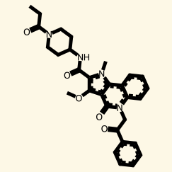 CCC(=O)N1CCC(NC(=O)c2c(OC)c3c(=O)n(CC(=O)c4ccccc4)c4ccccc4c3n2C)CC1